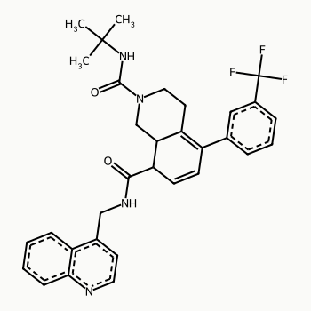 CC(C)(C)NC(=O)N1CCC2=C(c3cccc(C(F)(F)F)c3)C=CC(C(=O)NCc3ccnc4ccccc34)C2C1